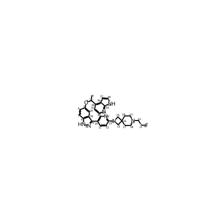 CC(Oc1ccc2[nH]nc(-c3ccc(N4CC5(CCN(CCF)CC5)C4)nc3)c2c1)c1ccnc2[nH]ccc12